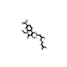 CCn1c(=O)c(O)c(OCC=C(C)CCC=C(C)C)c2ccc([N+](=O)[O-])cc21